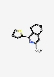 O=C(O)c1cc2ccccc2c(-c2cccs2)n1